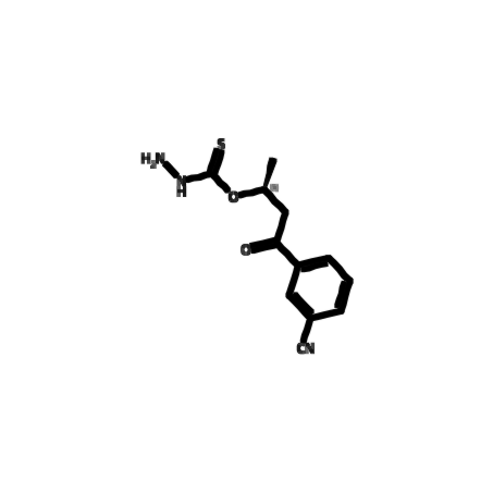 C[C@@H](CC(=O)c1cccc(C#N)c1)OC(=S)NN